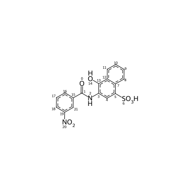 O=C(Nc1cc(S(=O)(=O)O)c2ccccc2c1O)c1cccc([N+](=O)[O-])c1